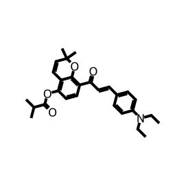 CCN(CC)c1ccc(C=CC(=O)c2ccc(OC(=O)C(C)C)c3c2OC(C)(C)C=C3)cc1